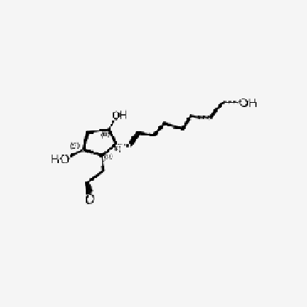 O=CC[C@@H]1[C@@H](C=CCCCCCCO)[C@H](O)C[C@@H]1O